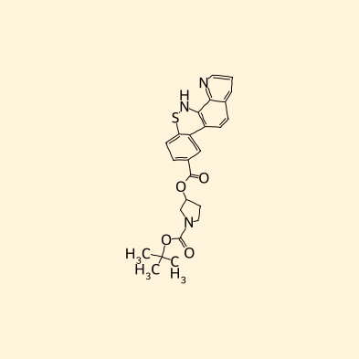 CC(C)(C)OC(=O)N1CCC(OC(=O)c2ccc3c(c2)-c2ccc4cccnc4c2NS3)C1